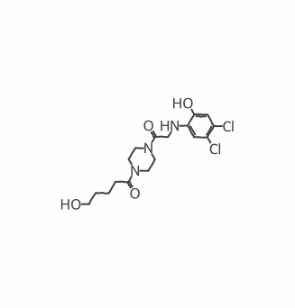 O=C(CCCCO)N1CCN(C(=O)CNc2cc(Cl)c(Cl)cc2O)CC1